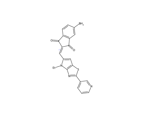 Bc1ccc2c(c1)C(=O)/C(=C\c1cc3sc(-c4cccnc4)nc3n1CC)C2=O